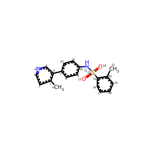 Cc1ccncc1-c1ccc(NS(=O)(=O)c2ccccc2C)cc1